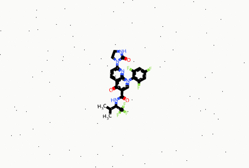 CC(C)C(NC(=O)c1cn(-c2c(F)cc(F)cc2F)c2nc(N3CCNC3=O)ccc2c1=O)C(F)(F)F